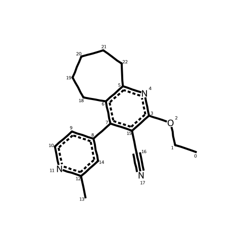 CCOc1nc2c(c(-c3ccnc(C)c3)c1C#N)CCCCC2